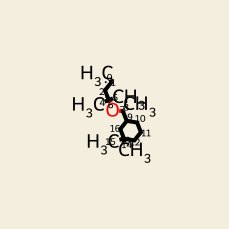 C[CH]CC(C)(C)OC(C)C1CCCC(C)(C)C1